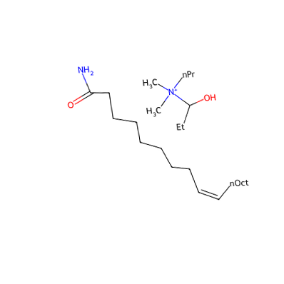 CCCCCCCC/C=C\CCCCCCCC(N)=O.CCC[N+](C)(C)C(O)CC